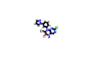 CCC1C(=O)N(C)c2cnc(Cl)nc2N1c1cccc(-n2cccn2)c1